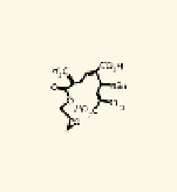 C=C(CC=C(C(=O)O)C(C=C(C)C(=O)O)CCCC)C(=O)OCC1CO1